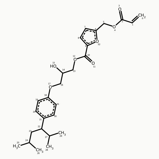 C=CC(=O)OCc1ccc(C(=O)OCC(O)COc2ccc(C(CC(C)C)C(C)C)cc2)o1